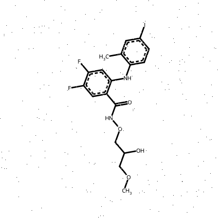 COCC(O)CONC(=O)c1cc(F)c(F)cc1Nc1ccc(I)cc1C